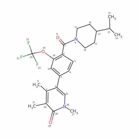 Cc1c(-c2ccc(C(=O)N3CCC(C(C)C)CC3)c(OC(F)(F)F)c2)cn(C)c(=O)c1C